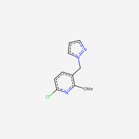 COc1nc(Cl)ccc1Cn1cccn1